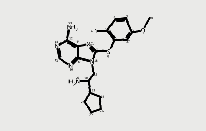 COc1ccc(I)c(Sc2nc3c(N)ncnc3n2CC(N)C2CCCC2)c1